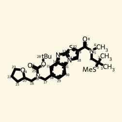 CSC(C)(C)CN(C)C(=O)c1cn2c(nc3cc(CN(CC4CCCO4)C(=O)OC(C)(C)C)ccc32)s1